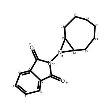 O=C1c2ccccc2C(=O)N1N1C2CCCCCCC21